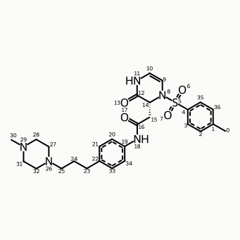 Cc1ccc(S(=O)(=O)N2C=CNC(=O)[C@H]2CC(=O)Nc2ccc(CCCN3CCN(C)CC3)cc2)cc1